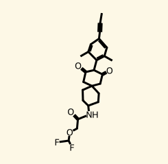 CC#Cc1cc(C)c(C2C(=O)CC3(CCC(NC(=O)COC(F)F)CC3)CC2=O)c(C)c1